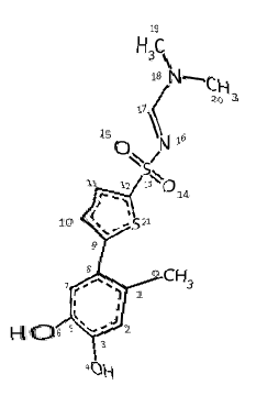 Cc1cc(O)c(O)cc1-c1ccc(S(=O)(=O)N=CN(C)C)s1